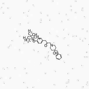 CC(C)(C)[Si](C)(C)Oc1ccc(CC(=O)CN2CCC(O)(Cc3ccccc3)CC2)cc1